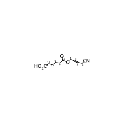 N#CCC#CCOC(=O)CCCCC(=O)O